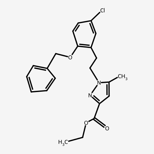 CCOC(=O)c1cc(C)n(CCc2cc(Cl)ccc2OCc2ccccc2)n1